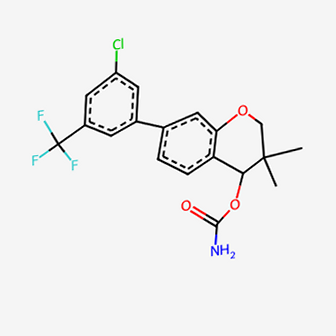 CC1(C)COc2cc(-c3cc(Cl)cc(C(F)(F)F)c3)ccc2C1OC(N)=O